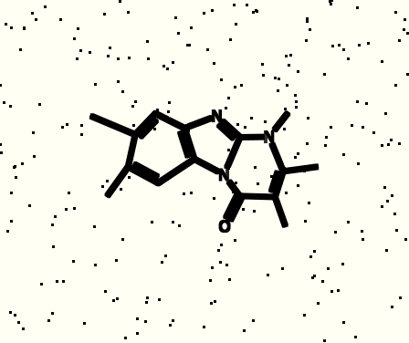 Cc1cc2nc3n(C)c(C)c(C)c(=O)n3c2cc1C